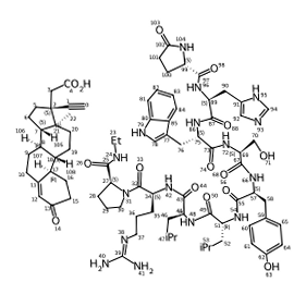 C#C[C@]1(CC(=O)O)CC[C@H]2[C@@H]3CCC4=CC(=O)CC[C@@H]4[C@H]3CC[C@@]21C.CCNC(=O)[C@@H]1CCCN1C(=O)[C@H](CCCN=C(N)N)NC(=O)[C@H](CC(C)C)NC(=O)[C@@H](CC(C)C)NC(=O)[C@H](Cc1ccc(O)cc1)NC(=O)[C@H](CO)NC(=O)[C@H](Cc1c[nH]c2ccccc12)NC(=O)[C@H](Cc1cnc[nH]1)NC(=O)[C@@H]1CCC(=O)N1